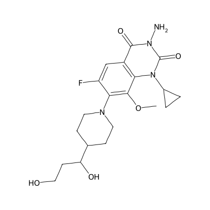 COc1c(N2CCC(C(O)CCO)CC2)c(F)cc2c(=O)n(N)c(=O)n(C3CC3)c12